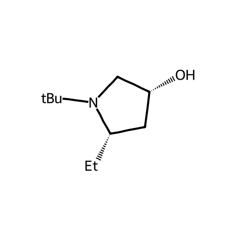 CC[C@H]1C[C@@H](O)CN1C(C)(C)C